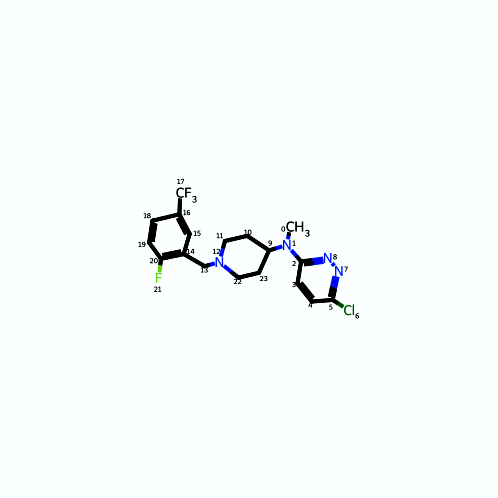 CN(c1ccc(Cl)nn1)C1CCN(Cc2cc(C(F)(F)F)ccc2F)CC1